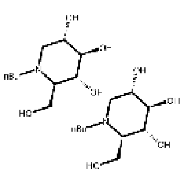 CCCCN1C[C@H](O)[C@@H](O)[C@H](O)[C@H]1CO.CCCCN1C[C@H](O)[C@@H](O)[C@H](O)[C@H]1CO